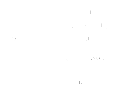 COCC(N=[N+]=[N-])C(O[Si](C)(C)C)c1ccc2c(c1)OCCO2